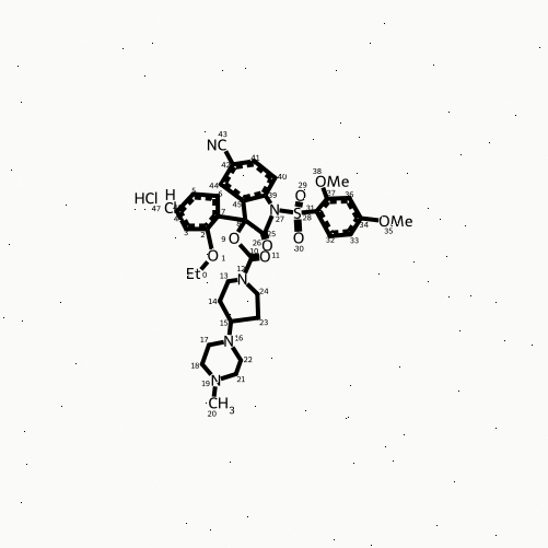 CCOc1ccccc1C1(OC(=O)N2CCC(N3CCN(C)CC3)CC2)C(=O)N(S(=O)(=O)c2ccc(OC)cc2OC)c2ccc(C#N)cc21.Cl.Cl